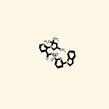 CC1CN(c2ncccc2C(=O)NS(=O)(=O)c2cccc(N3CCc4ccccc43)n2)C(C)(C)C1